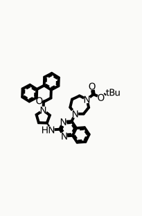 CC(C)(C)OC(=O)N1CCCN(c2nc(N[C@H]3CCN(C(=O)Cc4ccccc4-c4ccccc4)C3)nc3ccccc23)CC1